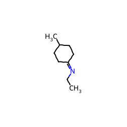 CCN=C1CCC(C)CC1